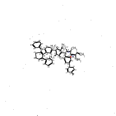 C=C/C(N)=C(C)\C(C)=C(\C)N(c1ccc(-c2ccc(F)cc2)cc1)c1c(C)c(C)c(-c2ccc3c(c2)c2c(n3-c3ccccc3)CCC=C2C2=CC=CCC2)c(C)c1C